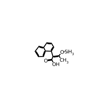 CC(O[SiH3])=C(C(=O)O)c1cccc2ccccc12